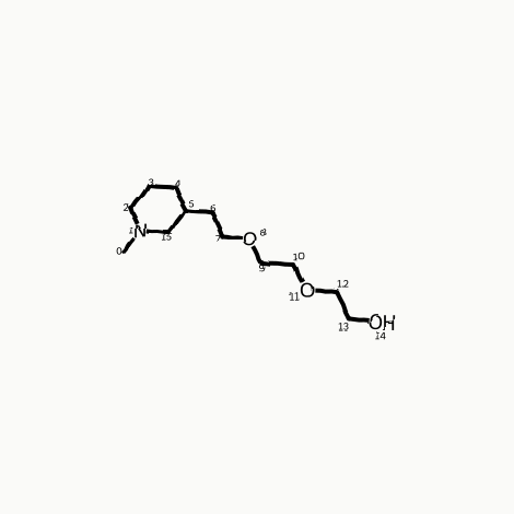 CN1CCCC(CCOCCOCCO)C1